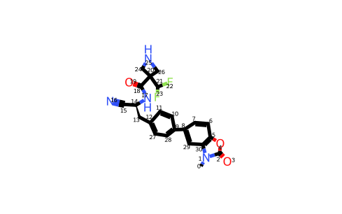 Cn1c(=O)oc2ccc(-c3ccc(C[C@@H](C#N)NC(=O)C4(C(F)F)CNC4)cc3)cc21